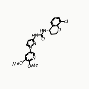 COc1cc(-n2ccc(NC(=O)N[C@H]3CCOc4c(Cl)cccc43)n2)cnc1OC